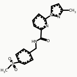 Cc1ccn(-c2cccc(C(=O)NCc3ccc(S(C)(=O)=O)cc3)n2)n1